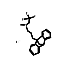 CN(CCCC12CC(c3ccccc31)c1ccccc12)CC(F)(F)F.Cl